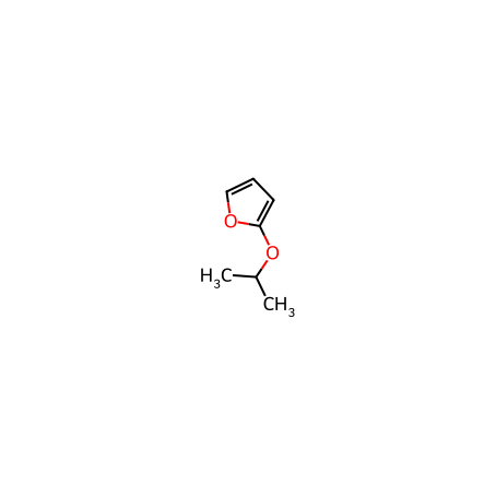 CC(C)Oc1ccco1